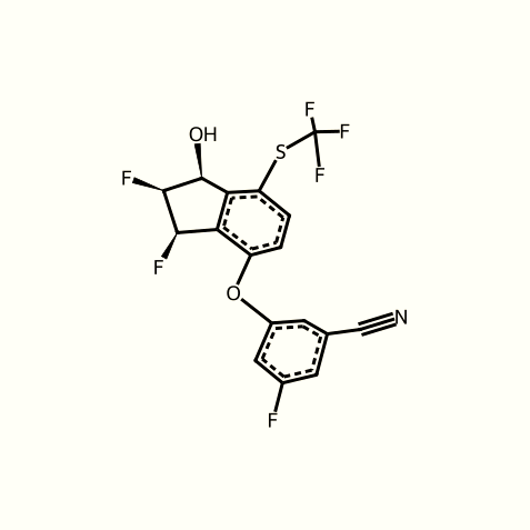 N#Cc1cc(F)cc(Oc2ccc(SC(F)(F)F)c3c2[C@@H](F)[C@@H](F)[C@H]3O)c1